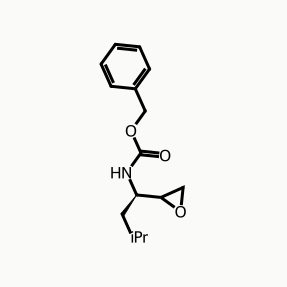 CC(C)C[C@@H](NC(=O)OCc1ccccc1)C1CO1